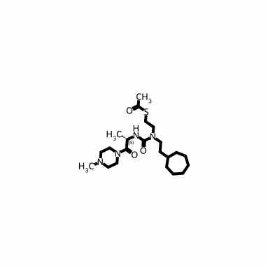 CC(=O)SCCN(CCC1CCCCCC1)C(=O)N[C@@H](C)C(=O)N1CCN(C)CC1